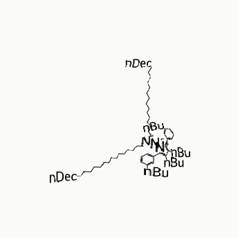 CCCCC1=C(c2cccc(CCCC)c2)[N+](=[N-])C(c2cccc(CCCC)c2)=C1CCCC.CCCCCCCCCCCCCCCCCCCCCCCC[CH2][Ni][CH2]CCCCCCCCCCCCCCCCCCCCCCCC